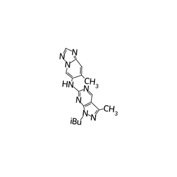 CCC(C)n1nc(C)c2cnc(Nc3cn4ncnc4cc3C)nc21